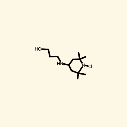 CC1(C)CC(NCCCO)CC(C)(C)N1Cl